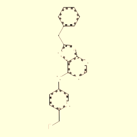 FCc1ccc(Nc2ncnc3sc(Cc4ccccc4)nc23)cn1